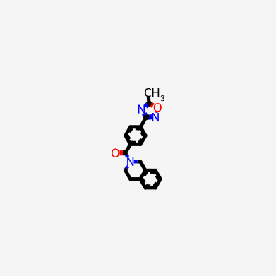 Cc1nc(-c2ccc(C(=O)N3CCc4ccccc4C3)cc2)no1